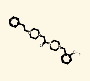 Cc1ccccc1CN1CCN(C(=O)CN2CCN(CCc3ccccc3)CC2)CC1